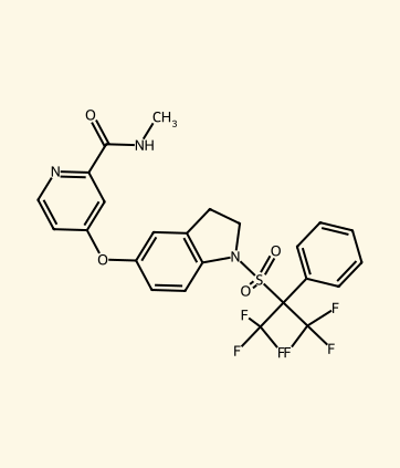 CNC(=O)c1cc(Oc2ccc3c(c2)CCN3S(=O)(=O)C(c2ccccc2)(C(F)(F)F)C(F)(F)F)ccn1